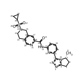 C[C@@H]1CCc2nnc(-c3cccc(NC(=O)c4cc5c(cn4)CCN(S(=O)(=O)C4CC4)C5)n3)n21